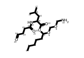 CCCCCC(OCOCN)OC(=O)C(CC(C)C)NC(=O)CCC=O